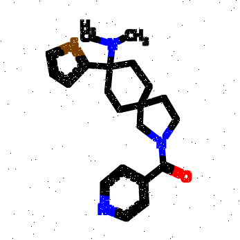 CN(C)C1(c2cccs2)CCC2(CCN(C(=O)c3ccncc3)C2)CC1